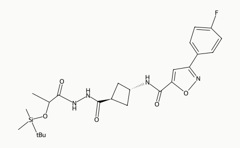 CC(O[Si](C)(C)C(C)(C)C)C(=O)NNC(=O)[C@H]1C[C@H](NC(=O)c2cc(-c3ccc(F)cc3)no2)C1